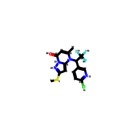 CSc1cc2n(C(c3ccc(Cl)nc3)C(F)(F)F)c(C)cc(=O)n2n1